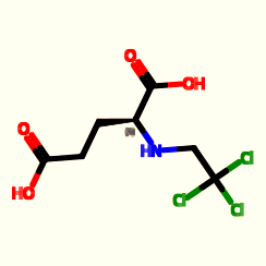 O=C(O)CC[C@H](NCC(Cl)(Cl)Cl)C(=O)O